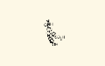 O=C(NC1CC1)c1cnc(NC2CCN(C(=O)O)[C@@H]2C2C3CC4C[C@H]2C[C@@](O)(C4)C3)nc1